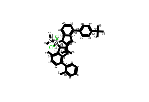 CC1=Cc2c(-c3ccccc3C)ccc(C)c2[CH]1[Zr]([Cl])([Cl])([CH]1C(C(C)C)=Cc2c(-c3ccc(C(C)(C)C)cc3)cccc21)[SiH](C)C